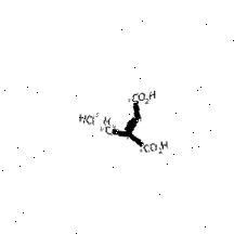 CC(=CC(=O)O)C(=O)O.Cl